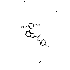 COc1ncc(C#N)cc1-c1cccc2cc(C(=O)NC34CCC(O)(CC3)C4)oc12